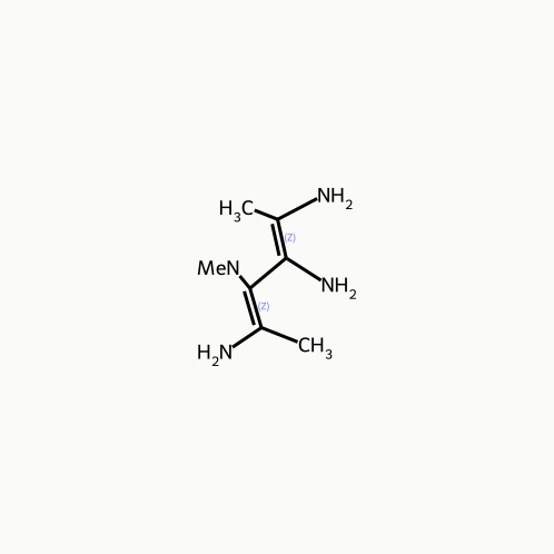 CNC(=C(/C)N)/C(N)=C(\C)N